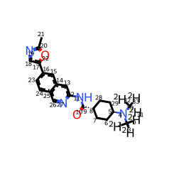 [2H]C([2H])([2H])N([C@H]1CC[C@H](C(=O)Nc2cc3cc(-c4cnc(C)o4)ccc3cn2)CC1)C([2H])([2H])[2H]